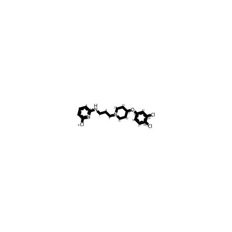 Clc1cccc(NCCCN2CCC(Oc3ccc(Cl)c(Cl)c3)CC2)n1